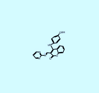 COc1ccc(Nc2c(/C=N/c3ncccn3)c(=O)oc3ccccc23)cc1